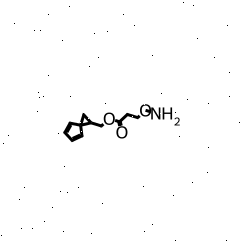 NOCCC(=O)OCC1CC12C=CC=C2